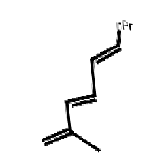 C=C(C)C=CC=CCCC